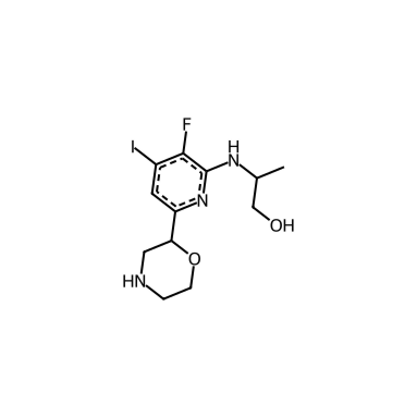 CC(CO)Nc1nc(C2CNCCO2)cc(I)c1F